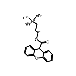 CCC[N+](CCC)(CCC)CC[P-]OC(=O)C1c2ccccc2Oc2ccccc21